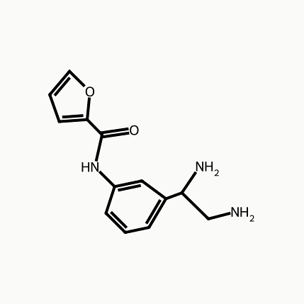 NCC(N)c1cccc(NC(=O)c2ccco2)c1